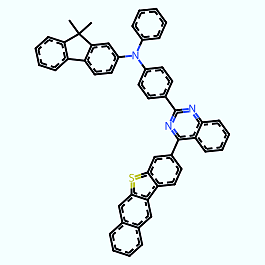 CC1(C)c2ccccc2-c2ccc(N(c3ccccc3)c3ccc(-c4nc(-c5ccc6c(c5)sc5cc7ccccc7cc56)c5ccccc5n4)cc3)cc21